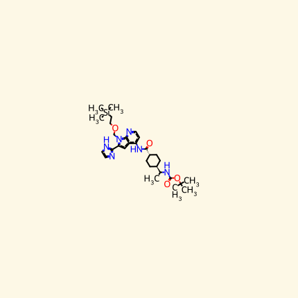 CC(NC(=O)OC(C)(C)C)[C@H]1CC[C@H](C(=O)Nc2ccnc3c2cc(-c2ncc[nH]2)n3COCC[Si](C)(C)C)CC1